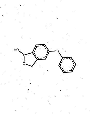 OB1OCc2cc(Oc3ccccc3)ccc21